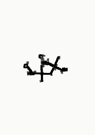 CCCC[N+](C)(CCCC)CC(C)(C)NCl.[Cl-]